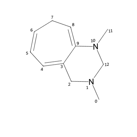 CN1CC2=CC=CCC=C2N(C)C1